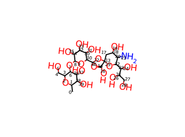 CC1OC(CO)C(OC2OC(COC3(C(=O)O)CC(O)C(N)C(C(O)C(O)CO)O3)C(O)C(O)C2O)C(O)C1O